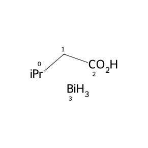 CC(C)CC(=O)O.[BiH3]